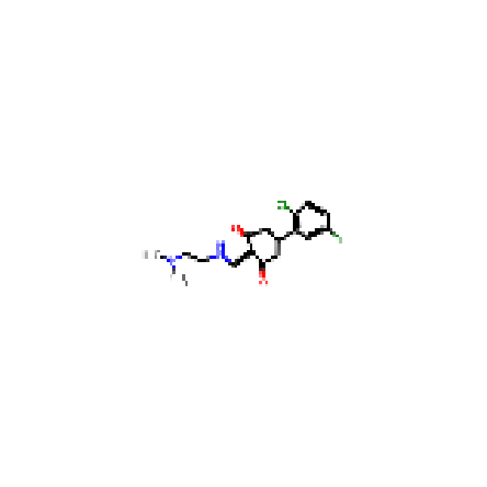 CN(C)CCNC=C1C(=O)CC(c2cc(F)ccc2Cl)CC1=O